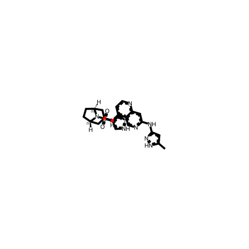 Cc1cc(Nc2cc3nccc(NC4C[C@@H]5CC[C@@H](C4)N5S(=O)(=O)c4cn[nH]c4)c3cn2)n[nH]1